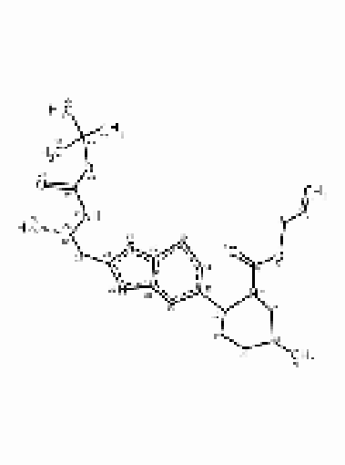 C=CCOC(=O)N1CC(C)CCC1c1ccc2sc(C[C@H](C)NC(=O)OC(C)(C)C)nc2c1